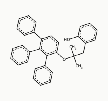 CC(C)(Cc1ccccc1O)Oc1ccc(-c2ccccc2)c(-c2ccccc2)c1-c1ccccc1